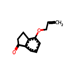 C=CCOc1cccc2c1CCC2=O